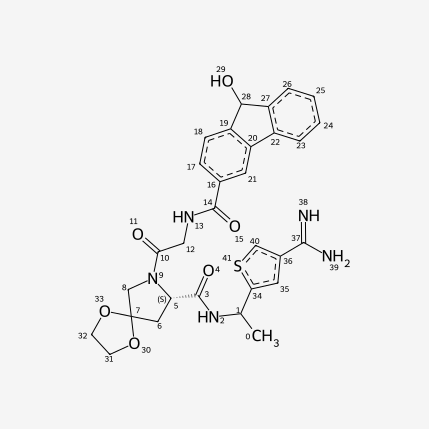 CC(NC(=O)[C@@H]1CC2(CN1C(=O)CNC(=O)c1ccc3c(c1)-c1ccccc1C3O)OCCO2)c1cc(C(=N)N)cs1